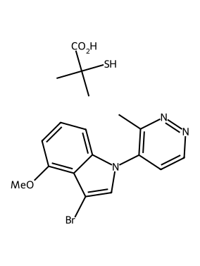 CC(C)(S)C(=O)O.COc1cccc2c1c(Br)cn2-c1ccnnc1C